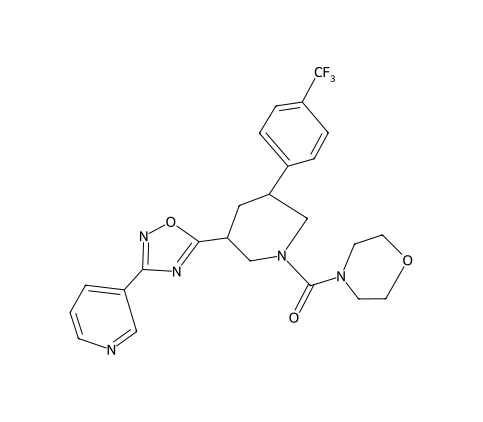 O=C(N1CCOCC1)N1CC(c2ccc(C(F)(F)F)cc2)CC(c2nc(-c3cccnc3)no2)C1